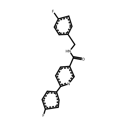 O=C(NCc1ccc(F)cc1)c1ccc(-c2ccc(F)cc2)nc1